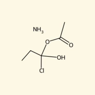 CCC(O)(Cl)OC(C)=O.N